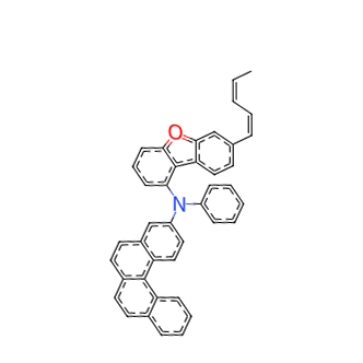 C/C=C\C=C/c1ccc2c(c1)oc1cccc(N(c3ccccc3)c3ccc4c(ccc5ccc6ccccc6c54)c3)c12